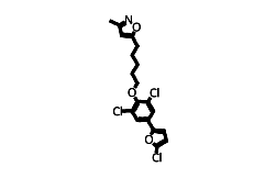 Cc1cc(CCCCCOc2c(Cl)cc(-c3ccc(Cl)o3)cc2Cl)on1